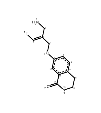 NCC(=CF)COc1ccc2c(c1)C(=O)NCC2